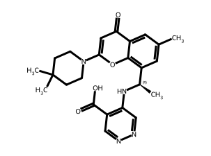 Cc1cc([C@@H](C)Nc2cnncc2C(=O)O)c2oc(N3CCC(C)(C)CC3)cc(=O)c2c1